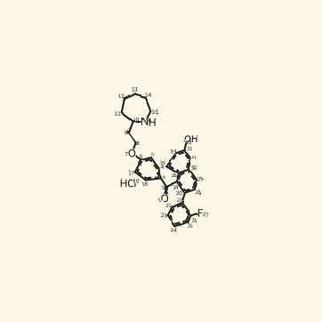 Cl.O=C(c1ccc(OCCC2CCCCCN2)cc1)c1c(-c2ccccc2F)ccc2cc(O)ccc12